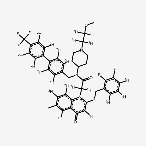 [2H]c1c([2H])c(F)c(F)c(CSc2c([2H])c(=O)c3c([2H])c(C)c([2H])c([2H])c3n2C([2H])([2H])C(=O)N(Cc2c([2H])c([2H])c(-c3c([2H])c([2H])c(C(F)(F)F)c([2H])c3[2H])c([2H])c2[2H])C2CCN(C([2H])([2H])C([2H])([2H])OC)CC2)c1[2H]